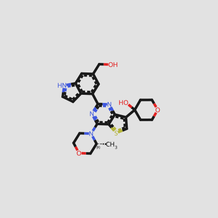 C[C@@H]1COCCN1c1nc(-c2cc(CO)cc3[nH]ccc23)nc2c(C3(O)CCOCC3)csc12